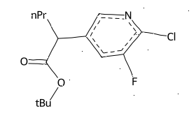 CCCC(C(=O)OC(C)(C)C)c1cnc(Cl)c(F)c1